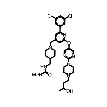 CNC(=O)NCC1CCN(Cc2cc(Oc3cnc(N4CCN(CCC(C)O)CC4)nc3)nc(-c3cc(Cl)cc(Cl)c3)c2)CC1